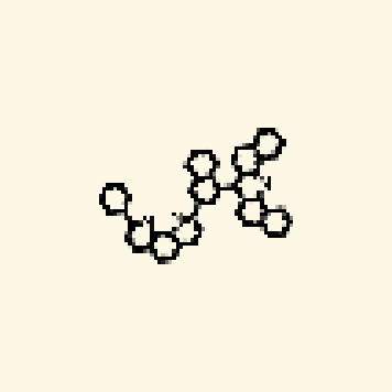 c1ccc(-c2ccc3ccc4ccc(-c5cc(-c6c7ccc8ccccc8c7nc7c6ccc6ccccc67)c6ccccc6c5)nc4c3n2)cc1